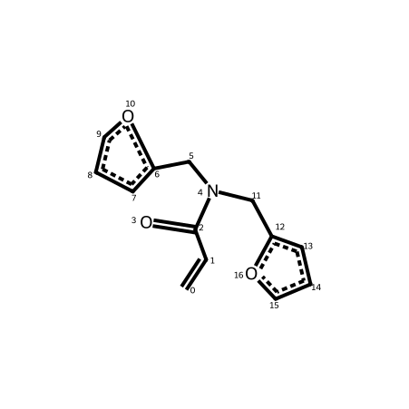 C=CC(=O)N(Cc1ccco1)Cc1ccco1